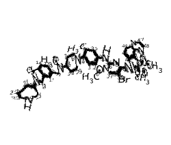 COc1cc(N2CCC(N(C)Cc3ccc4c(c3)CN(C3CCCNC3)C4=O)CC2)c(C)cc1Nc1ncc(Br)c(Nc2ccc3nccnc3c2P(=O)(OC)OC)n1